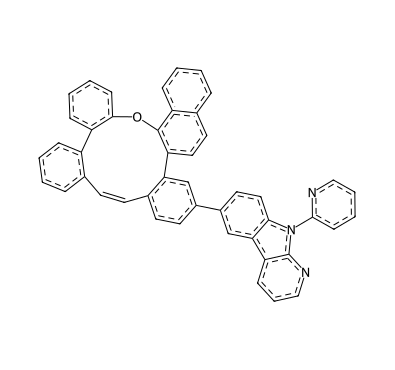 C1=C\c2ccc(-c3ccc4c(c3)c3cccnc3n4-c3ccccn3)cc2-c2ccc3ccccc3c2Oc2ccccc2-c2ccccc2/1